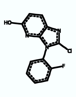 Oc1ccc2nc(Cl)n(-c3ccccc3F)c2n1